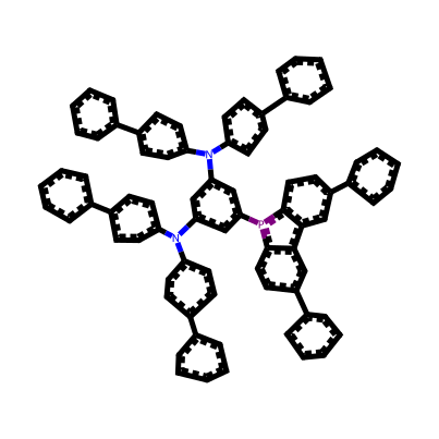 c1ccc(-c2ccc(N(c3ccc(-c4ccccc4)cc3)c3cc(N(c4ccc(-c5ccccc5)cc4)c4ccc(-c5ccccc5)cc4)cc(-p4c5ccc(-c6ccccc6)cc5c5cc(-c6ccccc6)ccc54)c3)cc2)cc1